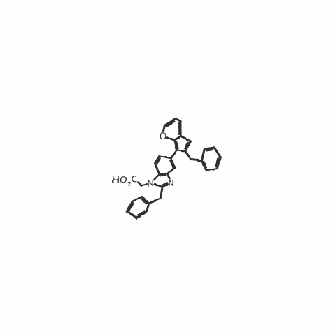 O=C(O)Cn1c(Cc2ccccc2)nc2cc(-c3c(Cc4ccccc4)cc4cccoc3-4)ccc21